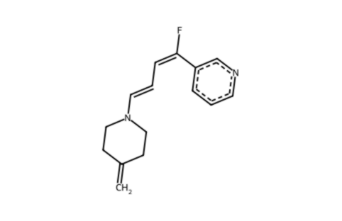 C=C1CCN(/C=C/C=C(/F)c2cccnc2)CC1